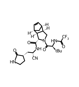 CC(C)(C)[C@H](NC(=O)C(F)(F)F)C(=O)N1C[C@H]2[C@@H]([C@H]1C(=O)N[C@H](C#N)C[C@@H]1CCNC1=O)[C@H]1C=C[C@@H]2C1